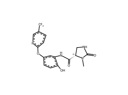 CN1C(=O)NC[C@H]1C(=O)Nc1cc(Oc2ccc(C(F)(F)F)cn2)ccc1O